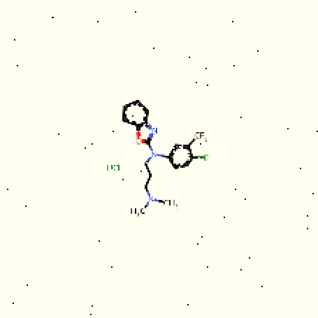 CN(C)CCCN(c1ccc(Cl)c(C(F)(F)F)c1)c1nc2ccccc2o1.Cl